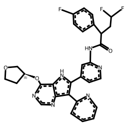 O=C(Nc1cc(-c2[nH]c3c(O[C@H]4CCOC4)ncnc3c2-c2ccccn2)ccn1)C(CC(F)F)c1ccc(F)cc1